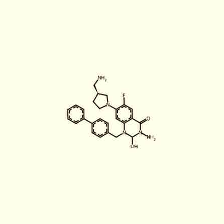 NC[C@@H]1CCN(c2cc3c(cc2F)C(=O)N(N)C(O)N3Cc2ccc(-c3ccccc3)cc2)C1